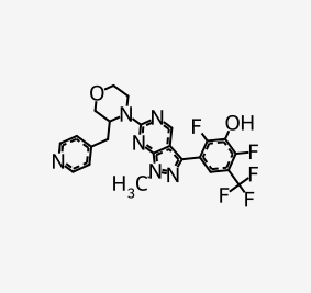 Cn1nc(-c2cc(C(F)(F)F)c(F)c(O)c2F)c2cnc(N3CCOCC3Cc3ccncc3)nc21